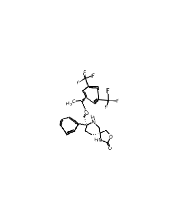 CC(OC[C@@]1(c2ccccc2)CC[C@]2(CN1)COC(=O)N2)c1cc(C(F)(F)F)cc(C(F)(F)F)c1